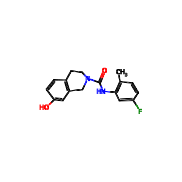 Cc1ccc(F)cc1NC(=O)N1CCc2ccc(O)cc2C1